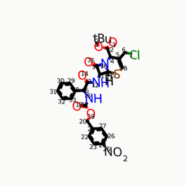 CC(C)(C)OC(=O)C1C(CCl)=CS[C@@H]2C(NC(=O)C(NC(=O)OCc3ccc([N+](=O)[O-])cc3)c3ccccc3)C(=O)N12